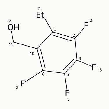 CCc1c(F)c(F)c(F)c(F)c1CO